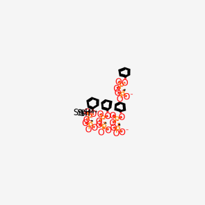 O=P([O-])([O-])CP(=O)([O-])Oc1ccccc1.O=P([O-])([O-])CP(=O)([O-])Oc1ccccc1.O=P([O-])([O-])CP(=O)([O-])Oc1ccccc1.O=P([O-])([O-])CP(=O)([O-])Oc1ccccc1.[Sn+4].[Sn+4].[Sn+4]